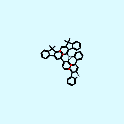 CC1(C)c2ccccc2-c2cc(-c3ccccc3N(c3ccccc3-c3ccc4c(c3)sc3ccccc34)c3cccc4c3-c3ccccc3C4(C)C)ccc21